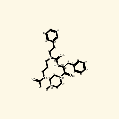 CC(=O)SCCCN(CCc1ccccc1)C(=O)N[C@@H](Cc1ccccc1)C(=O)N1CCN(C)CC1